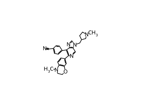 CN1CCC(Cn2cnc3c(-c4ccc(C#N)cc4)c(-c4ccc5c(c4)OCCN5C)ncc32)C1